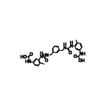 Cc1ccc(NC(=O)O)cc1NC(=O)NCc1cccc(CNC(=O)Nc2cc(NC(=O)O)ccc2C)c1